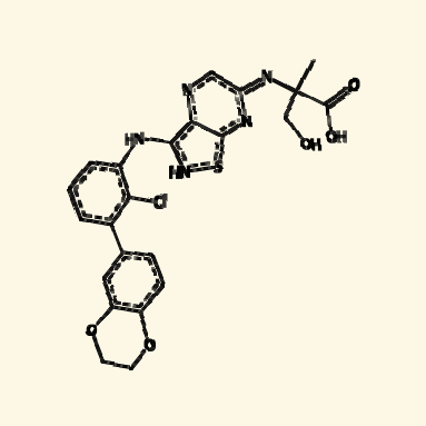 CC(CO)(N=c1cnc2c(Nc3cccc(-c4ccc5c(c4)OCCO5)c3Cl)[nH]sc-2n1)C(=O)O